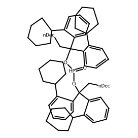 CCCCCCCCCCCC(O[PH](=O)OC(CCCCCCCCCCC)(c1ccccc1C1CCCCC1)c1ccccc1C1CCCCC1)(c1ccccc1C1CCCCC1)c1ccccc1C1CCCCC1